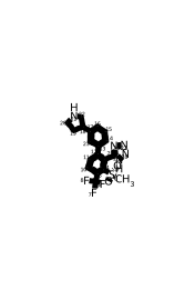 CS(=O)(=O)c1c(C(F)(F)F)ccc(-c2cccc(C3CCNC3)c2)c1-c1nnn[nH]1